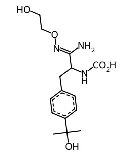 CC(C)(O)c1ccc(CC(NC(=O)O)C(N)=NOCCO)cc1